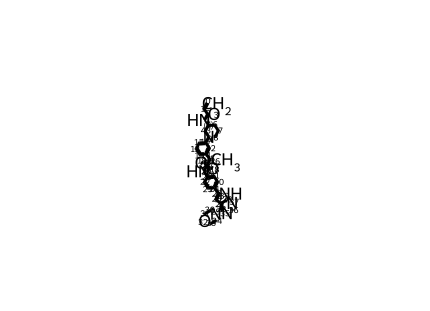 C=CC(=O)N[C@@H]1CCCN(c2cccc(C(C)S(=O)(=O)Nc3ccc(-c4cc5c(N6CCOCC6)ncnc5[nH]4)cc3)c2)C1